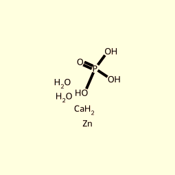 O.O.O=P(O)(O)O.[CaH2].[Zn]